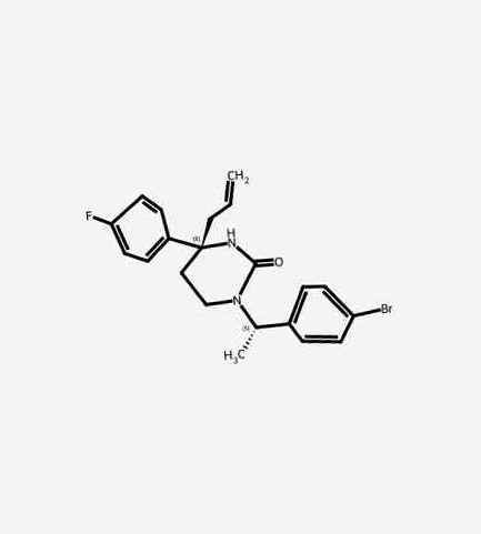 C=CC[C@]1(c2ccc(F)cc2)CCN([C@@H](C)c2ccc(Br)cc2)C(=O)N1